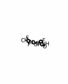 O=C1CCc2c(OCC3(O)CCN(c4cc(F)c(Cl)cc4F)CC3)ccc(F)c2N1